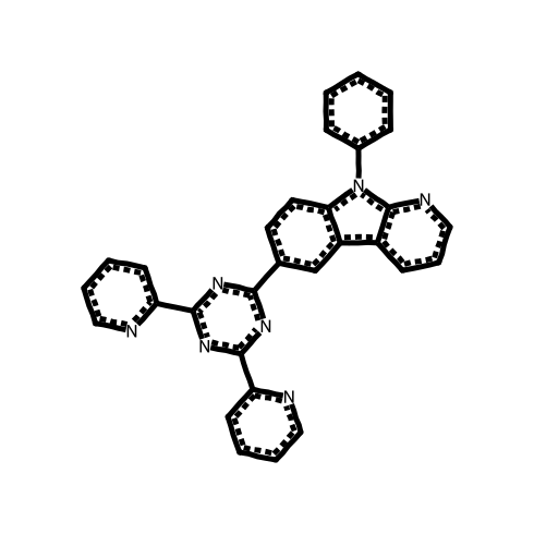 c1ccc(-n2c3ccc(-c4nc(-c5ccccn5)nc(-c5ccccn5)n4)cc3c3cccnc32)cc1